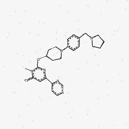 Cn1c(OC2CCN(c3ccc(CN4CCCC4)cc3)CC2)nc(-c2ccncn2)cc1=O